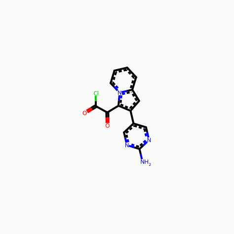 Nc1ncc(-c2cc3ccccn3c2C(=O)C(=O)Cl)cn1